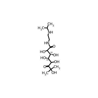 CC(C)NCCNC(=O)C(O)[C@@H](O)[C@H](O)C(O)C(=O)C(C)(C)O